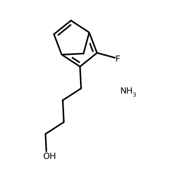 N.OCCCCC1=C2C=CC(=C1F)C2